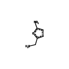 BCc1ccc([N+](=O)[O-])o1